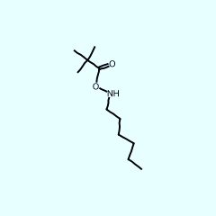 CCCCCCNOC(=O)C(C)(C)C